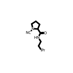 CC(C)CCNC(=O)C1CCCN1C#N